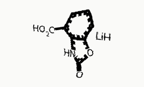 O=C(O)c1cccc2oc(=O)[nH]c12.[LiH]